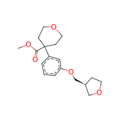 COC(=O)C1(c2cccc(OC[C@H]3CCOC3)c2)CCOCC1